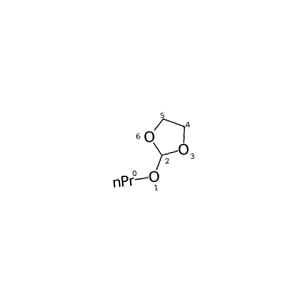 CCCOC1OCCO1